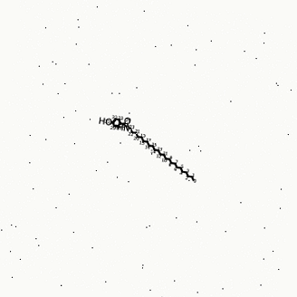 CCCCCCCCCCCCCCCCCCCCCCCCNC(=O)c1ccc(O)cc1